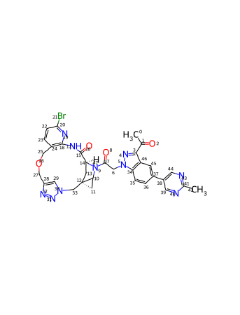 CC(=O)c1nn(CC(=O)N2C3C[C@]34C[C@H]2C(=O)Nc2nc(Br)ccc2COCc2cn(nn2)C4)c2ccc(-c3cnc(C)nc3)cc12